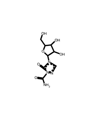 NC(=O)n1ncn(C2OC(CO)C(O)C2O)c1=O